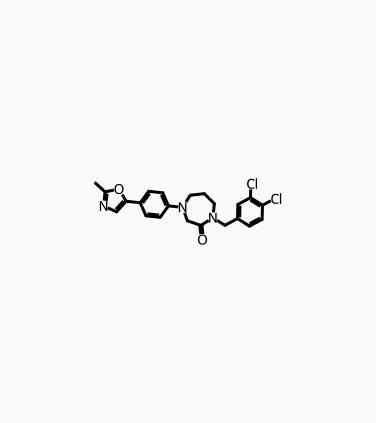 Cc1ncc(-c2ccc(N3CCCN(Cc4ccc(Cl)c(Cl)c4)C(=O)C3)cc2)o1